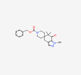 CC(C)n1ncc2c1C(=O)C(C)(C)C1(CCN(C(=O)OCc3ccccc3)CC1)C2